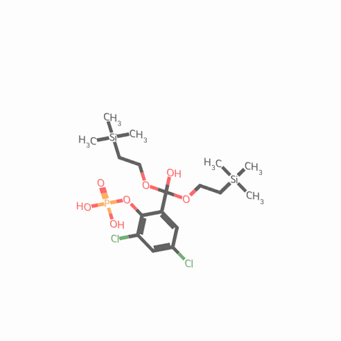 C[Si](C)(C)CCOC(O)(OCC[Si](C)(C)C)c1cc(Cl)cc(Cl)c1OP(=O)(O)O